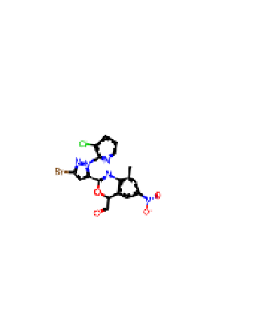 Cc1cc([N+](=O)[O-])cc2c1N=C(c1cc(Br)nn1-c1ncccc1Cl)OC2C=O